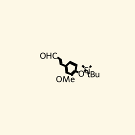 COc1cc(C=CC=O)ccc1O[Si](C)(C)C(C)(C)C